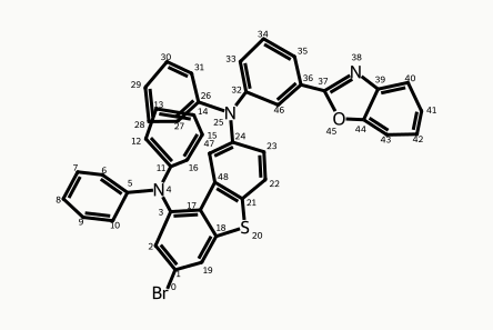 Brc1cc(N(c2ccccc2)c2ccccc2)c2c(c1)sc1ccc(N(c3ccccc3)c3cccc(-c4nc5ccccc5o4)c3)cc12